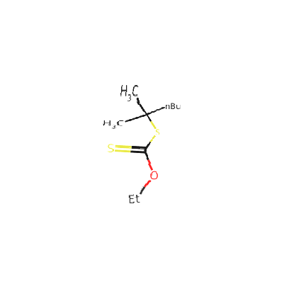 CCCCC(C)(C)SC(=S)OCC